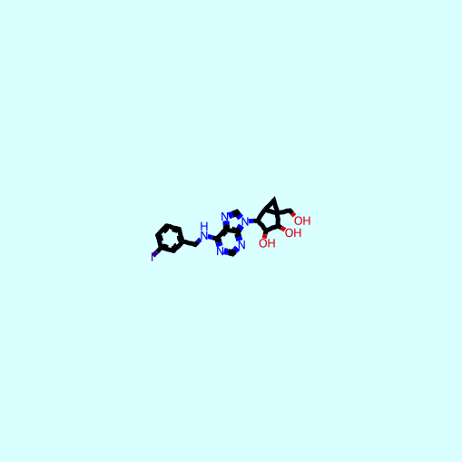 OCC12CC1C(n1cnc3c(NCc4cccc(I)c4)ncnc31)C(O)C2O